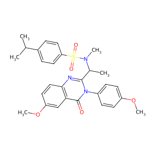 COc1ccc(-n2c(C(C)N(C)S(=O)(=O)c3ccc(C(C)C)cc3)nc3ccc(OC)cc3c2=O)cc1